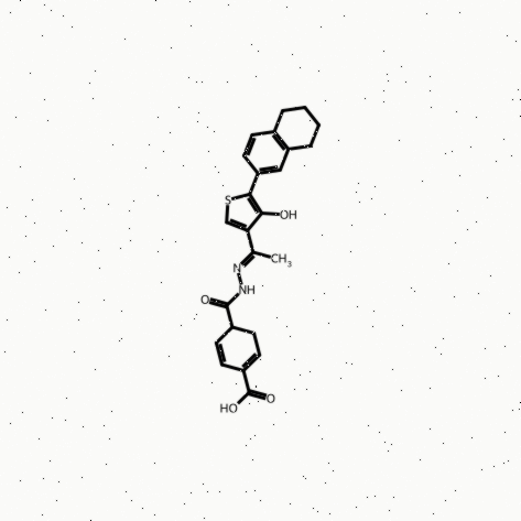 C/C(=N\NC(=O)C1C=CC(C(=O)O)=CC1)c1csc(-c2ccc3c(c2)CCCC3)c1O